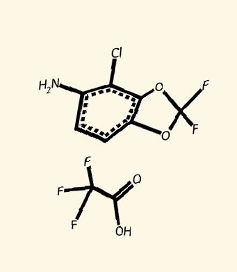 Nc1ccc2c(c1Cl)OC(F)(F)O2.O=C(O)C(F)(F)F